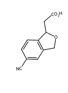 N#Cc1ccc2c(c1)COC2CC(=O)O